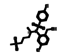 C[C@H](CCCS(C)(=O)=O)N(c1cc(Cl)ccc1CO)S(=O)(=O)c1ccc(Cl)cc1